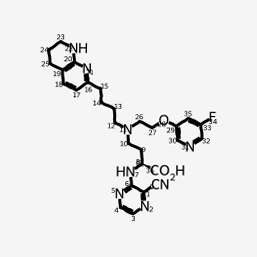 N#Cc1nccnc1N[C@@H](CCN(CCCCc1ccc2c(n1)NCCC2)CCOc1cncc(F)c1)C(=O)O